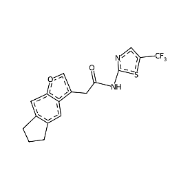 O=C(Cc1coc2cc3c(cc12)CCC3)Nc1ncc(C(F)(F)F)s1